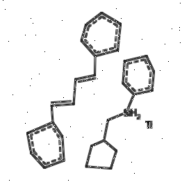 C(C=Cc1ccccc1)=Cc1ccccc1.[Ti].c1ccc([SiH2]CC2CCCC2)cc1